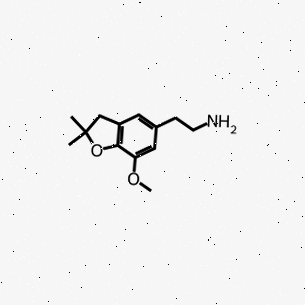 COc1cc(CCN)cc2c1OC(C)(C)C2